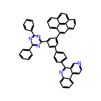 c1ccc(-c2nc(-c3ccccc3)nc(-c3cc(-c4ccc(-c5nc6ccccc6c6ccncc56)cc4)cc(-c4cc5cccc6ccc7cccc4c7c65)c3)n2)cc1